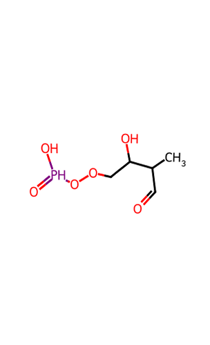 CC(C=O)C(O)COO[PH](=O)O